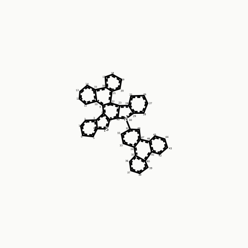 c1ccc2c(c1)sc1c2c2c3ccccc3c3ccccc3c2c2c3ccccc3n(-c3ccc4c5ccccc5c5ccccc5c4c3)c12